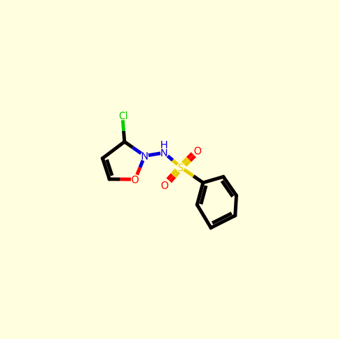 O=S(=O)(NN1OC=CC1Cl)c1ccccc1